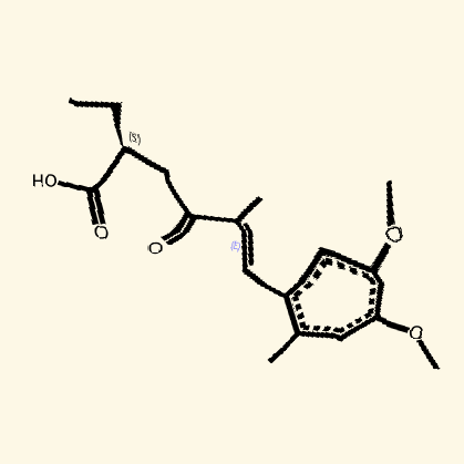 CC[C@@H](CC(=O)/C(C)=C/c1cc(OC)c(OC)cc1C)C(=O)O